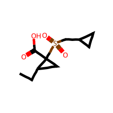 CCC1CC1(C(=O)O)S(=O)(=O)CC1CC1